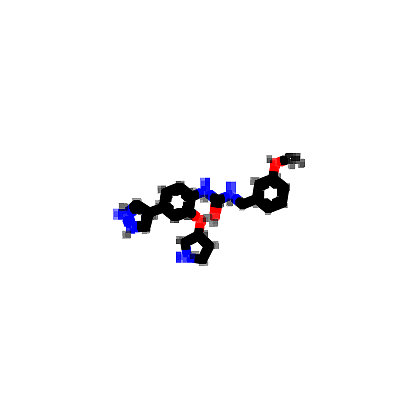 COc1cccc(CNC(=O)Nc2ccc(-c3cn[nH]c3)cc2OC2CCNC2)c1